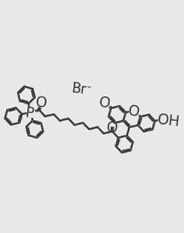 O=C(CCCCCCCCCC(=O)[P+](c1ccccc1)(c1ccccc1)c1ccccc1)c1ccccc1-c1c2ccc(=O)cc-2oc2cc(O)ccc12.[Br-]